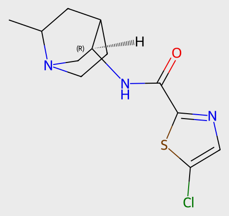 CC1CC2CCN1C[C@@H]2NC(=O)c1ncc(Cl)s1